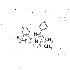 CC(C)C1(N)N=C(Nc2ccncc2C(F)(F)F)N=C(c2ccccc2)N1